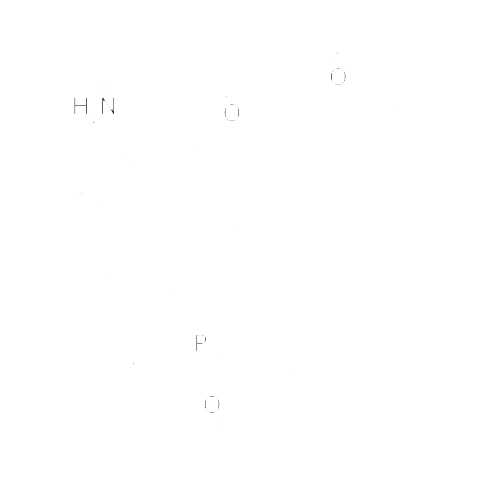 CCP(=O)(CC)c1ccc(N)c(OCOC)c1